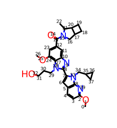 COc1ccc2cc(-c3nc4cc(C(=O)N5CC6CCC6C5C)cc(OC)c4n3CCCO)n(CC3CC3)c2n1